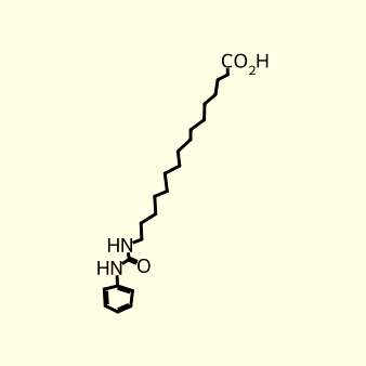 O=C(O)CCCCCCCCCCCCCCCNC(=O)Nc1ccccc1